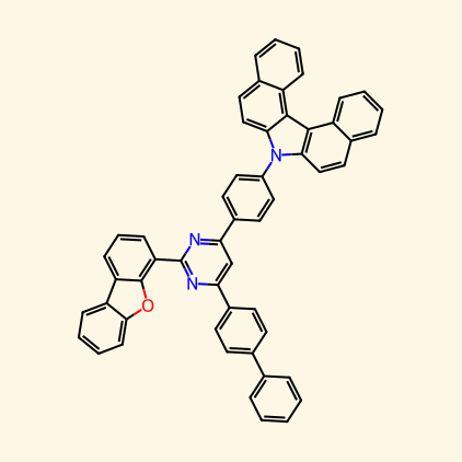 c1ccc(-c2ccc(-c3cc(-c4ccc(-n5c6ccc7ccccc7c6c6c7ccccc7ccc65)cc4)nc(-c4cccc5c4oc4ccccc45)n3)cc2)cc1